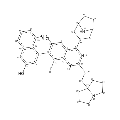 Oc1cc(-c2c(Cl)cc3c(N4CC5CCC(C4)N5)nc(OCC45CCCN4CCC5)nc3c2F)c2c(Cl)cccc2c1